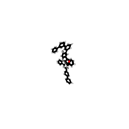 c1ccc(-c2ccc(-c3nc(-c4ccccc4)nc(-c4ccccc4-n4c5ccccc5c5cc6c(cc54)sc4c(-c5cccc(-c7ccccc7)c5)cccc46)n3)cc2)cc1